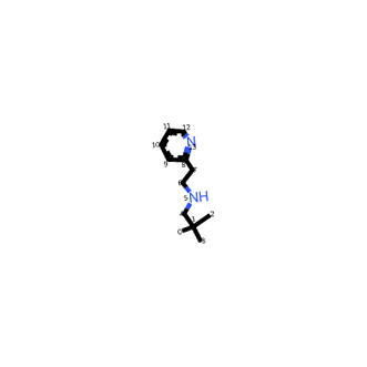 CC(C)(C)CNCCc1ccccn1